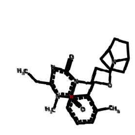 CCc1nc(=O)n(CCCN2C3CCC2CC(OCc2ccccc2C)C3)c(=O)n1C